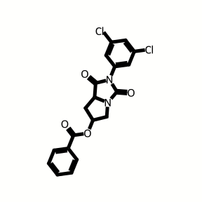 O=C(OC1CC2C(=O)N(c3cc(Cl)cc(Cl)c3)C(=O)N2C1)c1ccccc1